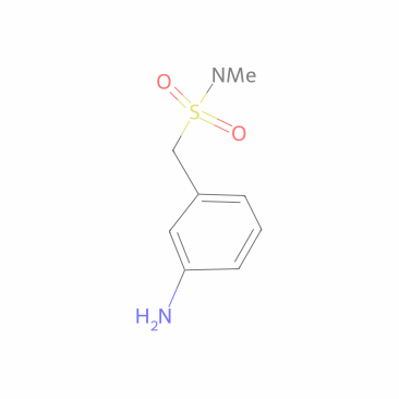 CNS(=O)(=O)Cc1cccc(N)c1